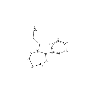 N#CCCN1CCCCCC1c1cccnc1